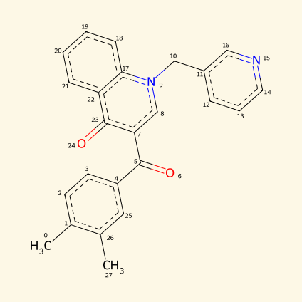 Cc1ccc(C(=O)c2cn(Cc3cccnc3)c3ccccc3c2=O)cc1C